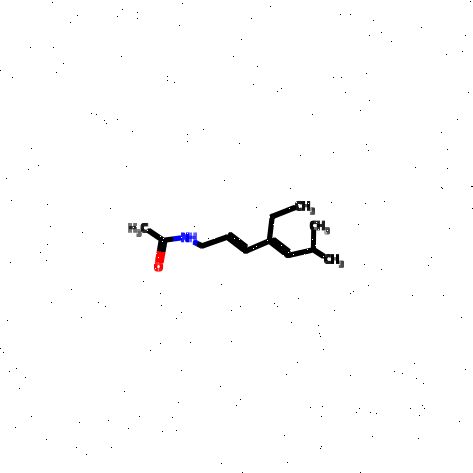 CCC(/C=C/CNC(C)=O)=C\C(C)C